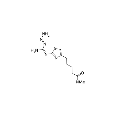 CNC(=O)CCCCc1csc(/N=C(/N)N=NN)n1